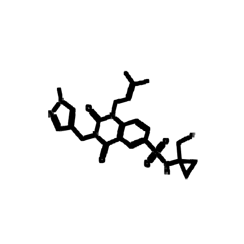 CC(C)=CCn1c(=O)n(Cc2cnn(C)c2)c(=O)c2cc(S(=O)(=O)NC3(CF)CC3)ccc21